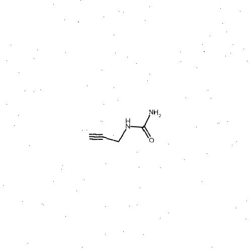 C#CCNC(N)=O